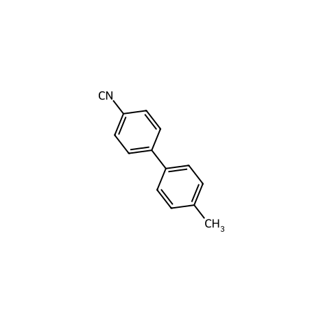 [C-]#[N+]c1ccc(-c2ccc(C)cc2)cc1